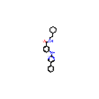 O=C(NCCC1CCCCC1)c1cccc(Nc2ncc(-c3ccccc3)cn2)c1